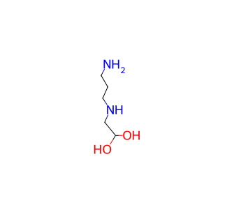 NCCCNCC(O)O